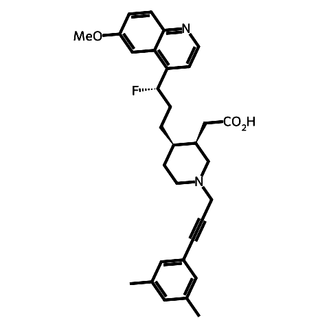 COc1ccc2nccc([C@@H](F)CC[C@@H]3CCN(CC#Cc4cc(C)cc(C)c4)C[C@@H]3CC(=O)O)c2c1